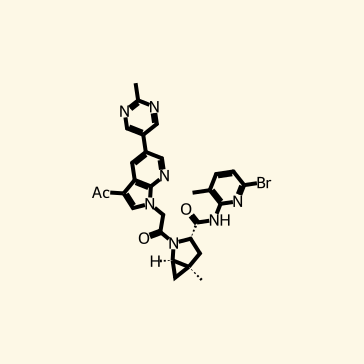 CC(=O)c1cn(CC(=O)N2[C@H](C(=O)Nc3nc(Br)ccc3C)C[C@@]3(C)C[C@@H]23)c2ncc(-c3cnc(C)nc3)cc12